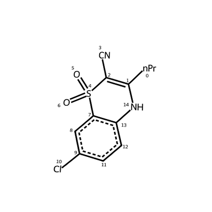 CCCC1=C(C#N)S(=O)(=O)c2cc(Cl)ccc2N1